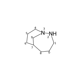 C1CNN2CCCC(C1)C2